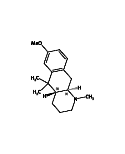 COc1ccc2c(c1)C(C)(C)[C@H]1CCCN(C)[C@@H]1C2